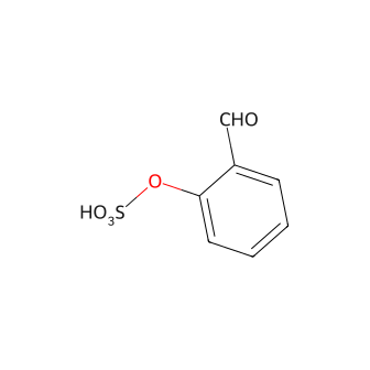 O=Cc1ccccc1OS(=O)(=O)O